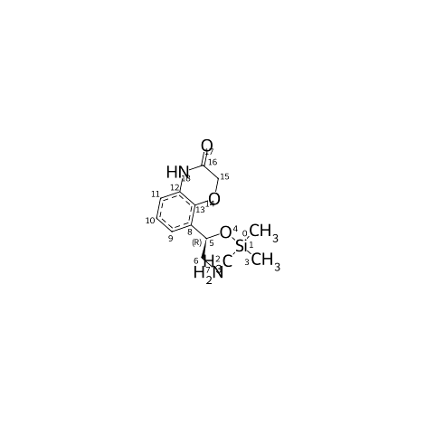 C[Si](C)(C)O[C@@H](CN)c1cccc2c1OCC(=O)N2